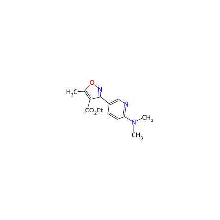 CCOC(=O)c1c(-c2ccc(N(C)C)nc2)noc1C